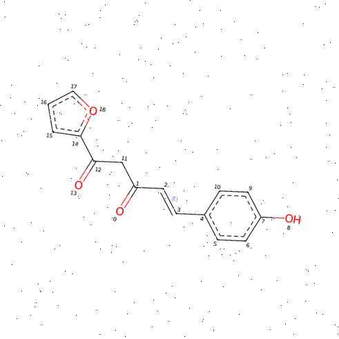 O=C(/C=C/c1ccc(O)cc1)CC(=O)c1ccco1